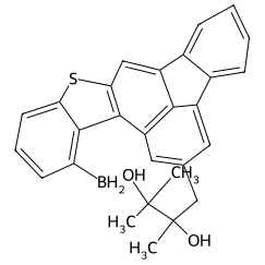 Bc1cccc2sc3cc4c5c(cc(CC(C)(O)C(C)(C)O)cc5c3c12)-c1ccccc1-4